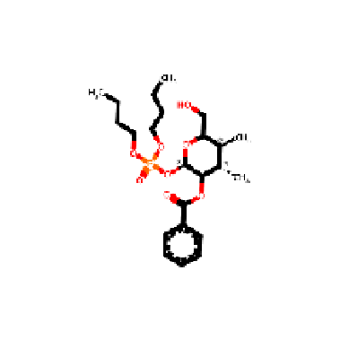 CCCCOP(=O)(OCCCC)O[C@H]1OC(CO)[C@@H](C)[C@H](C)C1OC(=O)c1ccccc1